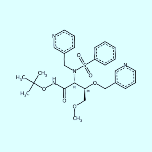 COC[C@H](OCc1cccnc1)[C@H](C(=O)NOC(C)(C)C)N(Cc1cccnc1)S(=O)(=O)c1ccccc1